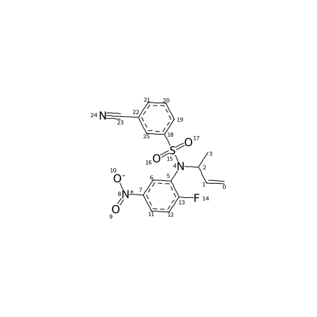 C=CC(C)N(c1cc([N+](=O)[O-])ccc1F)S(=O)(=O)c1cccc(C#N)c1